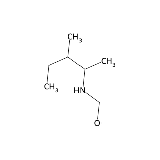 CCC(C)C(C)NC[O]